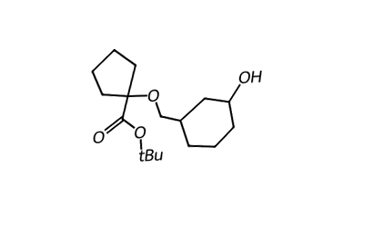 CC(C)(C)OC(=O)C1(OCC2CCCC(O)C2)CCCC1